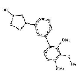 CCCOc1c(OC)ccc(-c2cncc([C@H]3COB(O)C3)c2)c1OC